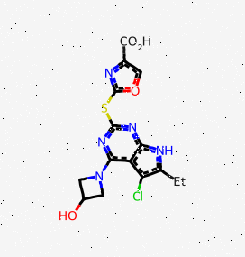 CCc1[nH]c2nc(Sc3nc(C(=O)O)co3)nc(N3CC(O)C3)c2c1Cl